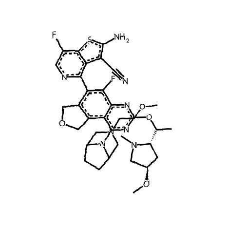 COCCN1CC2CCC(C1)N2c1nc(OC(C)[C@@H]2C[C@@H](OC)CN2C)nc2c(F)c(-c3ncc(F)c4sc(N)c(C#N)c34)c3c(c12)COC3